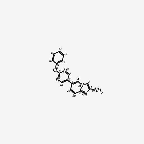 Nc1cn2cc(-c3cnc(Oc4ccccc4)nc3)ccc2n1